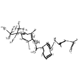 CC(=O)CCNc1cccc(C(=O)Nc2c(C)cc(C(F)(C(F)(F)F)C(F)(F)F)cc2C)c1